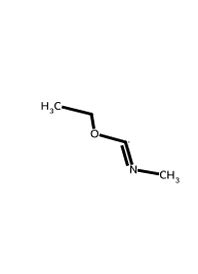 CCO/[C]=N/C